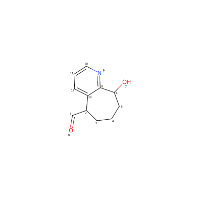 O=CC1CCCC(O)c2ncccc21